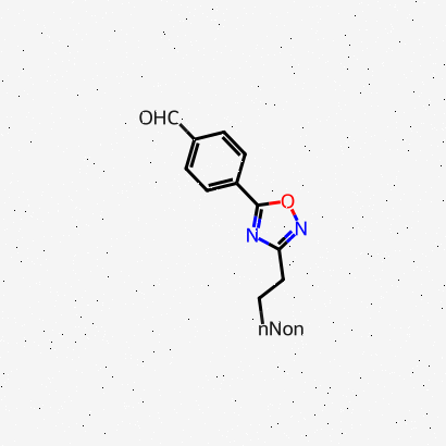 CCCCCCCCCCCc1noc(-c2ccc(C=O)cc2)n1